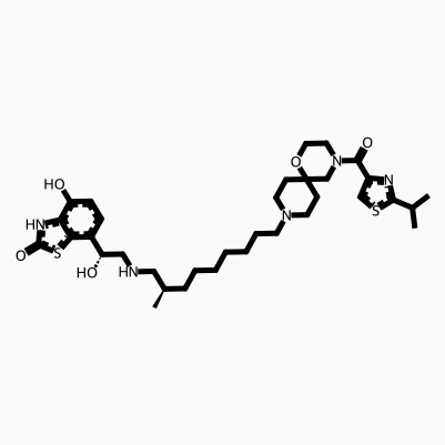 CC(C)c1nc(C(=O)N2CCOC3(CCN(CCCCCCC[C@@H](C)CNC[C@H](O)c4ccc(O)c5[nH]c(=O)sc45)CC3)C2)cs1